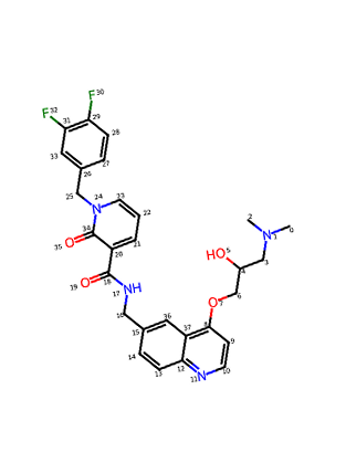 CN(C)CC(O)COc1ccnc2ccc(CNC(=O)c3cccn(Cc4ccc(F)c(F)c4)c3=O)cc12